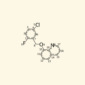 Fc1ccc(Cl)cc1COc1cccc2cccnc12